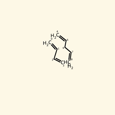 C=CC=C.C=CCC=C